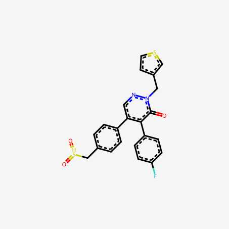 O=c1c(-c2ccc(F)cc2)c(-c2ccc(C[SH](=O)=O)cc2)cnn1Cc1ccsc1